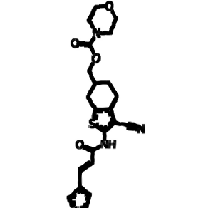 N#Cc1c(NC(=O)C=Cc2ccoc2)sc2c1CCC(COC(=O)N1CCOCC1)C2